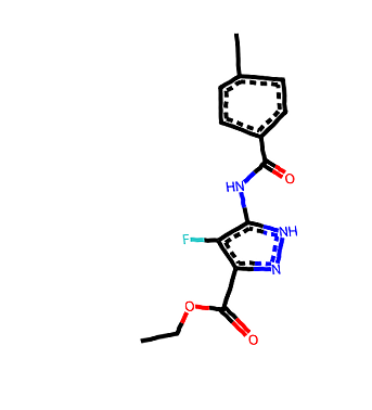 CCOC(=O)c1n[nH]c(NC(=O)c2ccc(C)cc2)c1F